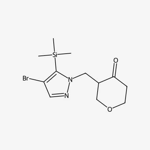 C[Si](C)(C)c1c(Br)cnn1CC1COCCC1=O